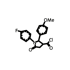 COc1ccc(C2C(C(=O)Cl)CC(=O)N2c2ccc(F)cc2)cc1